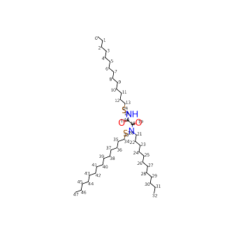 CCCCCCCCCCCCCCSNC(=O)C(=O)N(CCCCCCCCCCCC)SCCCCCCCCCCCCCC